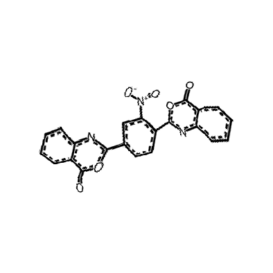 O=c1oc(-c2ccc(-c3nc4ccccc4c(=O)o3)c([N+](=O)[O-])c2)nc2ccccc12